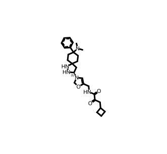 CN(C)C1(c2ccccc2)CCC2(CC1)C[C@@H](N1C=C(CNC(=O)C(=O)CC3CCC3)OC1)NN2